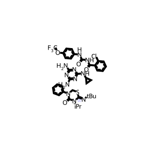 CC(C)N1C(=O)N(c2ccccc2)CS/C1=N\C(C)(C)C.Nc1nc(N)nc(NC2CC2)n1.O=C(NC(=O)c1ccccc1Cl)Nc1ccc(OC(F)(F)F)cc1